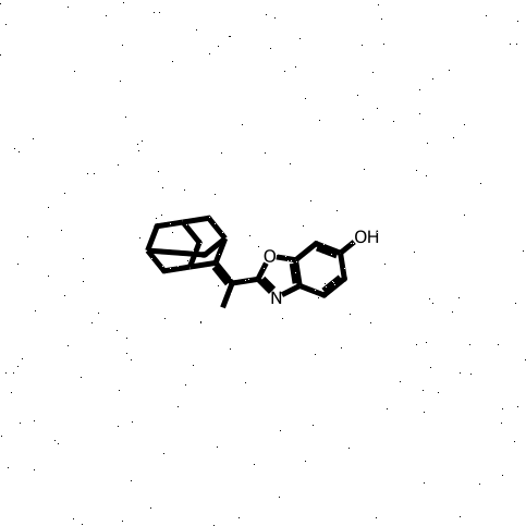 CC(=C1C2CC3CC(C2)CC1C3)c1nc2ccc(O)cc2o1